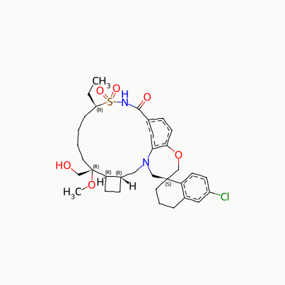 CC[C@@H]1CCCC[C@@](CO)(OC)[C@@H]2CC[C@H]2CN2C[C@@]3(CCCc4cc(Cl)ccc43)COc3ccc(cc32)C(=O)NS1(=O)=O